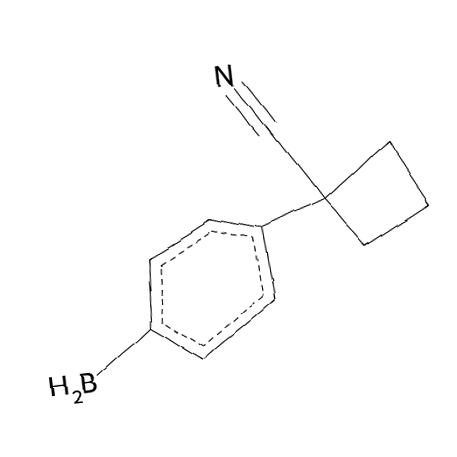 Bc1ccc(C2(C#N)CCC2)cc1